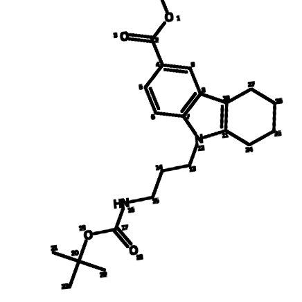 COC(=O)c1ccc2c(c1)c1c(n2CCCNC(=O)OC(C)(C)C)CCCC1